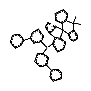 CC1(C)c2ccccc2C2(c3ccccc3-c3c(N(c4cccc(-c5ccccc5)c4)c4cccc(-c5ccccc5)c4)cccc32)c2ccccc21